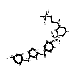 CN(CCS(C)(=O)=O)C1CCCN(S(=O)(=O)c2ccc(Nc3nccc(Nc4ccc(F)cc4)n3)cc2)C1